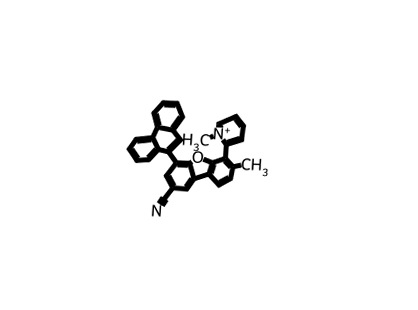 Cc1ccc2c(oc3c(-c4cc5ccccc5c5ccccc45)cc(C#N)cc32)c1-c1cccc[n+]1C